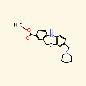 CCOC(=O)c1ccc2c(c1)CCc1cc(CN3CCCCC3)ccc1N2